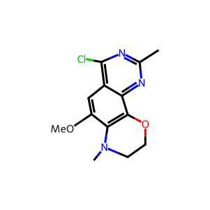 COc1cc2c(Cl)nc(C)nc2c2c1N(C)CCO2